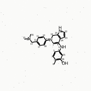 Cc1ccc(NC2=CN(c3ccc(CN(C)C)cc3)Cc3[nH]ccc32)cc1O